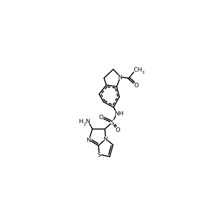 CC(=O)N1CCc2ccc(NS(=O)(=O)C3C(N)N=C4SC=CN43)cc21